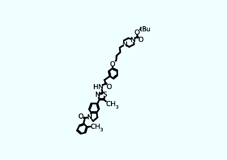 Cc1ccccc1C(=O)N1CCc2cc(-c3nc(NC(=O)Cc4cccc(OCCCCN5CCN(C(=O)OC(C)(C)C)CC5)c4)sc3C)ccc21